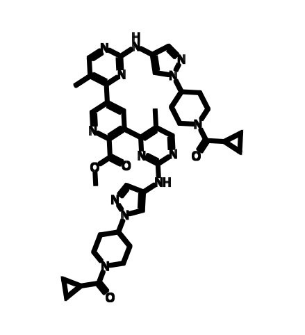 COC(=O)c1ncc(-c2nc(Nc3cnn(C4CCN(C(=O)C5CC5)CC4)c3)ncc2C)cc1-c1nc(Nc2cnn(C3CCN(C(=O)C4CC4)CC3)c2)ncc1C